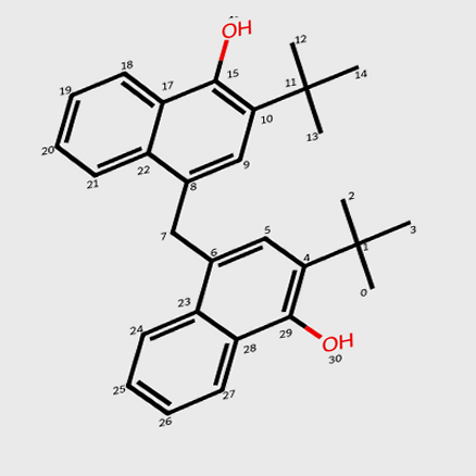 CC(C)(C)c1cc(Cc2cc(C(C)(C)C)c(O)c3ccccc23)c2ccccc2c1O